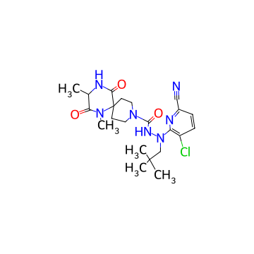 CC1NC(=O)C2(CCN(C(=O)NN(CC(C)(C)C)c3nc(C#N)ccc3Cl)CC2)N(C)C1=O